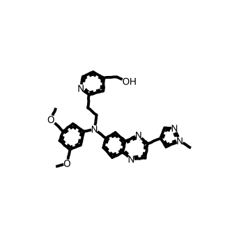 COc1cc(OC)cc(N(CCc2cc(CO)ccn2)c2ccc3ncc(-c4cnn(C)c4)nc3c2)c1